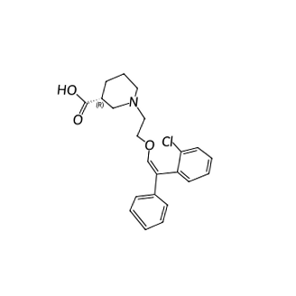 O=C(O)[C@@H]1CCCN(CCOC=C(c2ccccc2)c2ccccc2Cl)C1